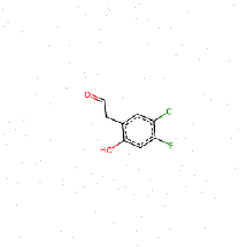 O=CCc1cc(Cl)c(F)cc1O